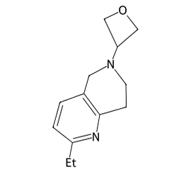 CCc1ccc2c(n1)CCN(C1COC1)C2